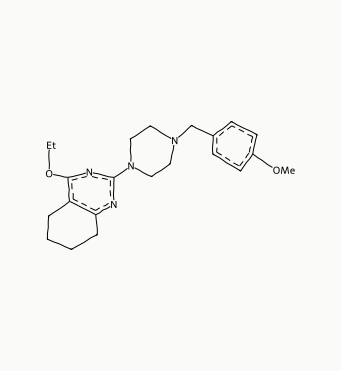 CCOc1nc(N2CCN(Cc3ccc(OC)cc3)CC2)nc2c1CCCC2